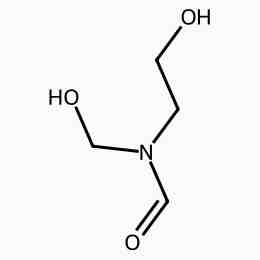 O=CN(CO)CCO